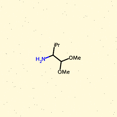 COC(OC)C(N)C(C)C